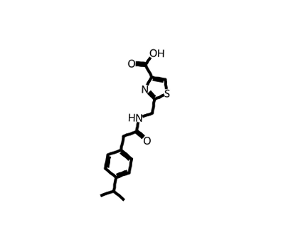 CC(C)c1ccc(CC(=O)NCc2nc(C(=O)O)cs2)cc1